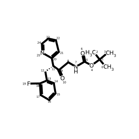 CC(C)(C)OC(=O)NCC(=O)[C@H](Cc1ccccc1F)c1ccccn1